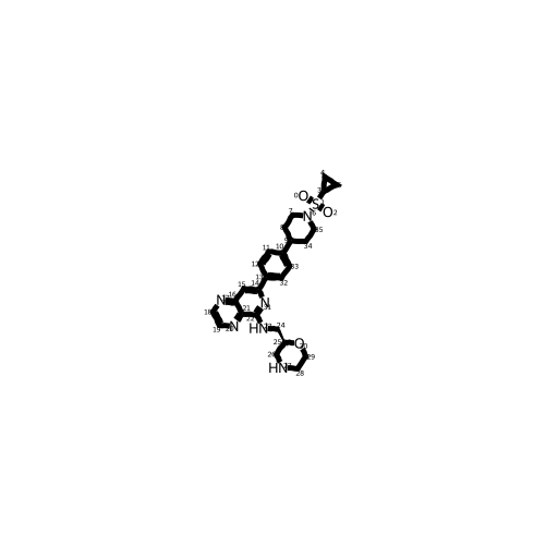 O=S(=O)(C1CC1)N1CCC(c2ccc(-c3cc4nccnc4c(NC[C@@H]4CNCCO4)n3)cc2)CC1